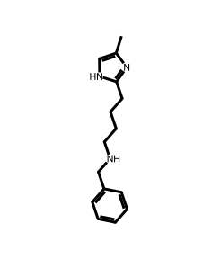 Cc1c[nH]c(CCCCNCc2ccccc2)n1